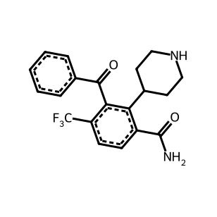 NC(=O)c1ccc(C(F)(F)F)c(C(=O)c2ccccc2)c1C1CCNCC1